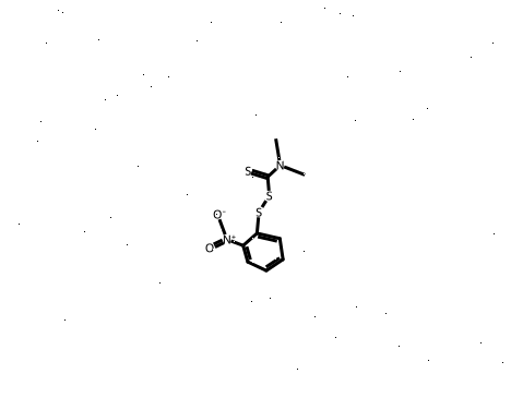 CN(C)C(=S)SSc1ccccc1[N+](=O)[O-]